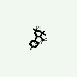 COC(=O)C1C(c2ccc(F)cc2)=CC(C)(O)CC1(C)C